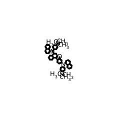 C[Si](C)(C)c1ccc(N(c2ccc3c(c2)oc2cc(N(c4ccc([Si](C)(C)C)cc4)c4cccc5ccccc45)c4ccccc4c23)c2cccc3ccccc23)cc1